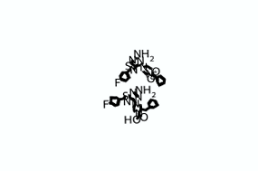 Nc1nc(N2CCN(C(=O)O)C(Cc3ccccc3)C2)c2nc(-c3ccc(F)cc3)sc2n1.Nc1nc(N2CCN(S(=O)(=O)c3ccccc3)CC2)c2nc(-c3ccc(F)cc3)sc2n1